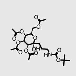 CC(=O)OC[C@H]1O[C@@](O)(CCCNC(=O)OC(C)(C)C)[C@H](OC(C)=O)[C@@H](OC(C)=O)[C@H]1OC(C)=O